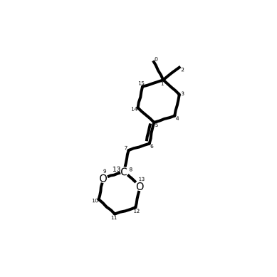 CC1(C)CCC(=CC[13CH]2OCCCO2)CC1